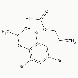 C=CCOC(=O)O.CC(O)Oc1c(Br)cc(Br)cc1Br